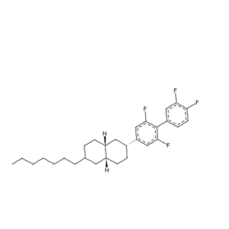 CCCCCCCC1CC[C@@H]2C[C@H](c3cc(F)c(-c4ccc(F)c(F)c4)c(F)c3)CC[C@@H]2C1